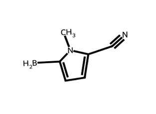 Bc1ccc(C#N)n1C